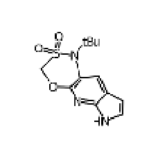 CC(C)(C)N1c2cc3cc[nH]c3nc2OCS1(=O)=O